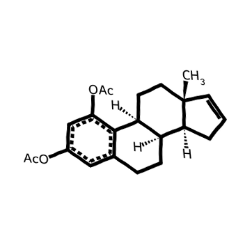 CC(=O)Oc1cc2c(c(OC(C)=O)c1)[C@H]1CC[C@]3(C)C=CC[C@H]3[C@H]1CC2